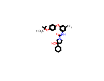 CC(C)(Oc1ccc(Oc2cc(NC(=O)N3CCC(O)(C4CCCCC4)C3)cc(C(F)(F)F)c2)cc1)C(=O)O